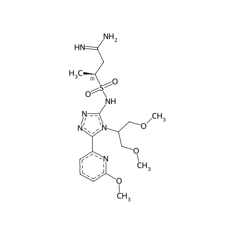 COCC(COC)n1c(NS(=O)(=O)[C@@H](C)CC(=N)N)nnc1-c1cccc(OC)n1